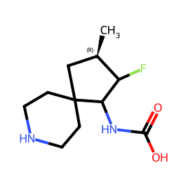 C[C@@H]1CC2(CCNCC2)C(NC(=O)O)C1F